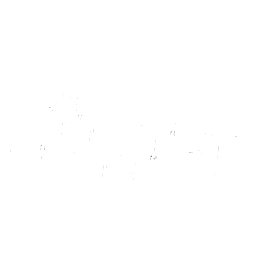 Cc1cc(C)c(-c2cc(N3CCOCC3)c3nccn3c2)cc1NC(=O)N1CCC(C2(C(F)(F)P)CC2)C1